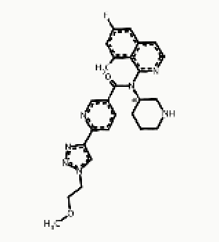 COCCn1cc(-c2ccc(C(=O)N(c3nccc4cc(F)cc(C)c34)[C@@H]3CCCNC3)cn2)nn1